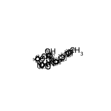 COc1ccccc1-c1cc(C(=O)Nc2nc3ccc(N4CCC(N5CCN(C)CC5)CC4)cc3n2[C@H]2CC[C@@H](O)CC2)ccn1